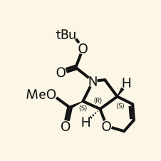 COC(=O)[C@@H]1[C@@H]2OCC=C[C@H]2CN1C(=O)OC(C)(C)C